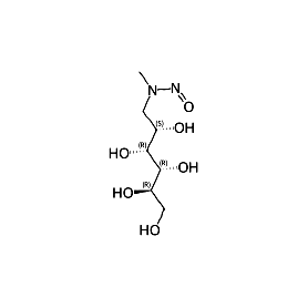 CN(C[C@H](O)[C@@H](O)[C@H](O)[C@H](O)CO)N=O